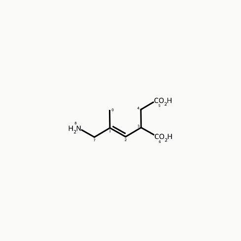 C/C(=C\C(CC(=O)O)C(=O)O)CN